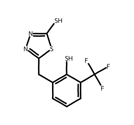 FC(F)(F)c1cccc(Cc2nnc(S)s2)c1S